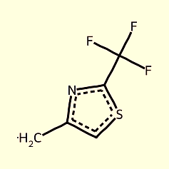 [CH2]c1csc(C(F)(F)F)n1